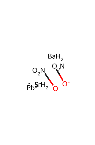 O=[N+]([O-])[O-].O=[N+]([O-])[O-].[BaH2].[Pb+2].[SrH2]